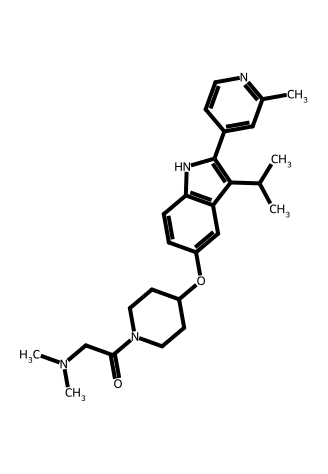 Cc1cc(-c2[nH]c3ccc(OC4CCN(C(=O)CN(C)C)CC4)cc3c2C(C)C)ccn1